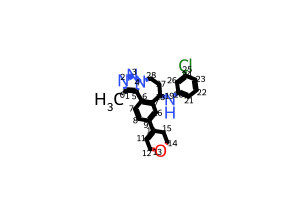 Cc1nnn2c1-c1ccc(C3=CCOCC3)cc1C(Nc1cccc(Cl)c1)CC2